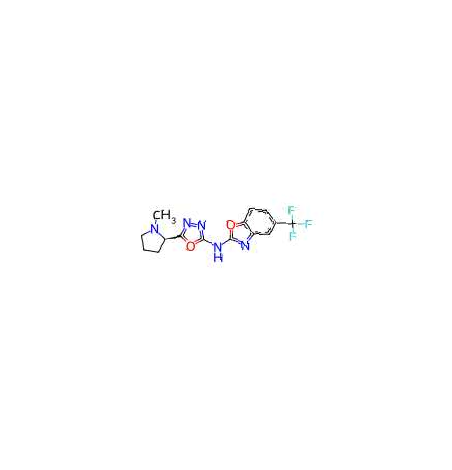 CN1CCC[C@@H]1c1nnc(Nc2nc3cc(C(F)(F)F)ccc3o2)o1